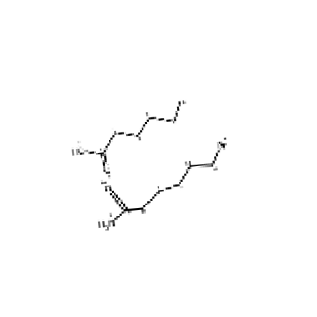 CCCCCC(=O)O.NC(=O)CCCCCBr